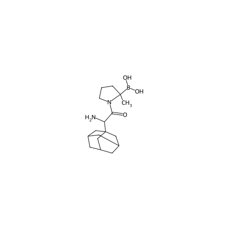 CC1(B(O)O)CCCN1C(=O)C(N)C12CC3CC(CC(C3)C1)C2